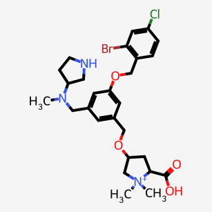 CN(Cc1cc(COC2CC(C(=O)O)[N+](C)(C)C2)cc(OCc2ccc(Cl)cc2Br)c1)C1CCNC1